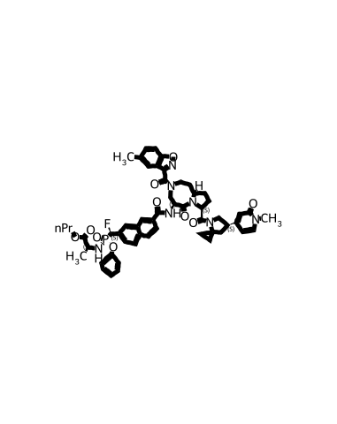 CCCOC(=O)[C@H](C)NP(=O)(Oc1ccccc1)[C@H](F)c1ccc2ccc(C(=O)N[C@H]3CN(C(=O)c4noc5ccc(C)cc45)CC[C@H]4CC[C@@H](C(=O)N5C[C@H](c6ccn(C)c(=O)c6)CC56CC6)N4C3=O)cc2c1